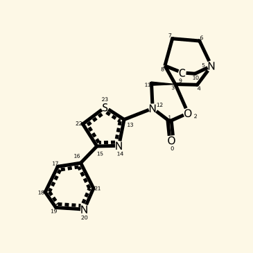 O=C1O[C@]2(CN3CCC2CC3)CN1c1nc(-c2cccnc2)cs1